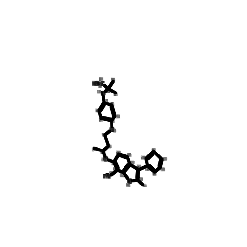 CCCc1c(O[C@@H](C)CCOc2ccc(OC(C)(C)C(=O)O)cc2)ccc2c(-c3ccccc3)c(C)oc12